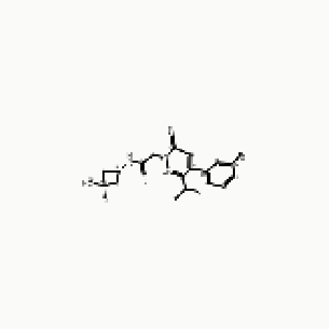 CC(C)c1nn(CC(=O)N[C@H]2C[C@@](C)(O)C2)c(=O)cc1-c1cccc(Br)c1